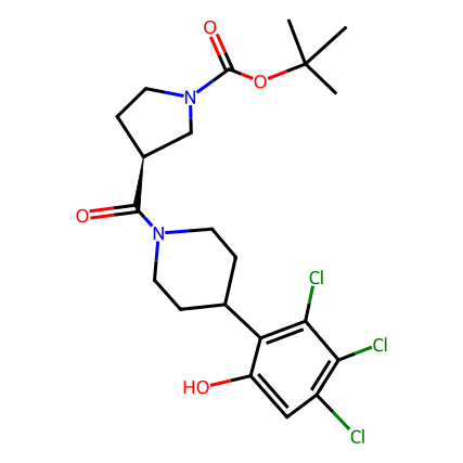 CC(C)(C)OC(=O)N1CC[C@H](C(=O)N2CCC(c3c(O)cc(Cl)c(Cl)c3Cl)CC2)C1